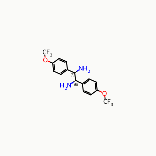 N[C@H](c1ccc(OC(F)(F)F)cc1)[C@H](N)c1ccc(OC(F)(F)F)cc1